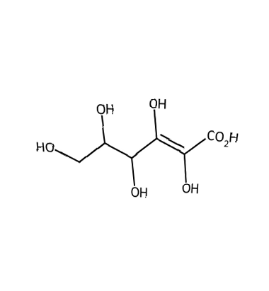 O=C(O)C(O)=C(O)C(O)C(O)CO